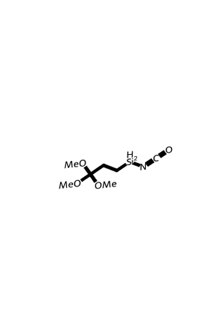 COC(CC[SiH2]N=C=O)(OC)OC